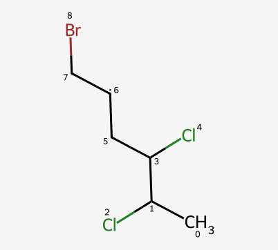 CC(Cl)C(Cl)C[CH]CBr